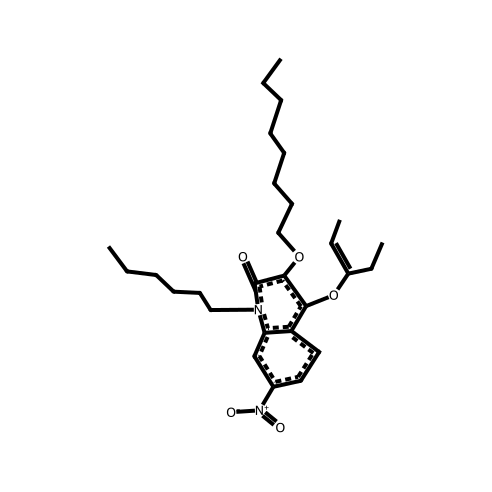 CC=C(CC)Oc1c(OCCCCCCCC)c(=O)n(CCCCCC)c2cc([N+](=O)[O-])ccc12